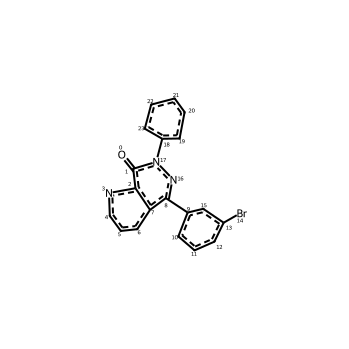 O=c1c2ncccc2c(-c2cccc(Br)c2)nn1-c1ccccc1